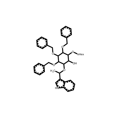 CCCCCCOC1C(O)C(OC(C)c2c[nH]c3ccccc23)C(OCc2ccccc2)C(OCc2ccccc2)C1OCc1ccccc1